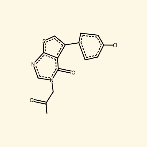 CC(=O)Cn1cnc2scc(-c3ccc(Cl)cc3)c2c1=O